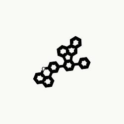 c1ccc(-c2ccc(-c3ccc4c(c3)-c3cccc5cccc(c35)O4)c3c2-c2cc4ccccc4c4cccc-3c24)cc1